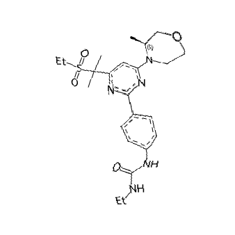 CCNC(=O)Nc1ccc(-c2nc(N3CCOC[C@@H]3C)cc(C(C)(C)S(=O)(=O)CC)n2)cc1